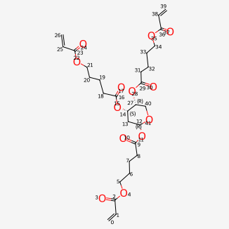 C=CC(=O)OCCCCC(=O)O[C@@H]1C[C@H](OC(=O)CCCCOC(=O)C=C)[C@H](OC(=O)CCCCOC(=O)C=C)CO1